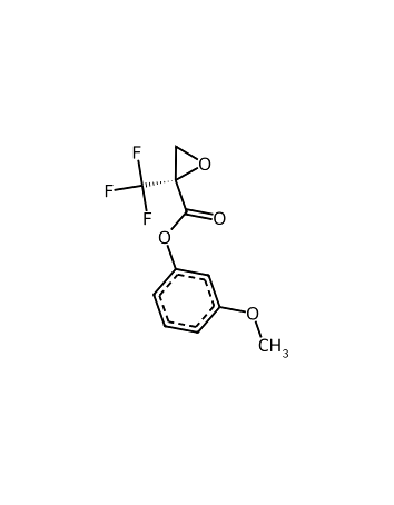 COc1cccc(OC(=O)[C@@]2(C(F)(F)F)CO2)c1